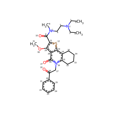 CCN(CC)CCN(C)C(=O)c1sc2c3c(n(CC(=O)c4ccccc4)c(=O)c2c1OC)CCCC3